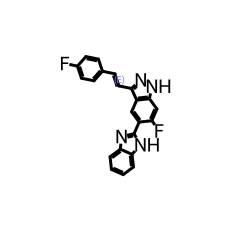 Fc1ccc(/C=C/c2n[nH]c3cc(F)c(-c4nc5ccccc5[nH]4)cc23)cc1